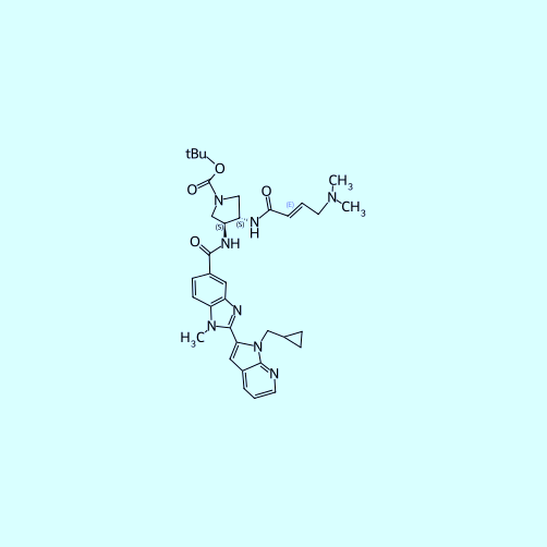 CN(C)C/C=C/C(=O)N[C@H]1CN(C(=O)OC(C)(C)C)C[C@@H]1NC(=O)c1ccc2c(c1)nc(-c1cc3cccnc3n1CC1CC1)n2C